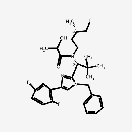 CC(O)C(=O)N(CC[C@H](C)CF)[C@@H](c1nc(-c2cc(F)ccc2F)cn1Cc1ccccc1)C(C)(C)C